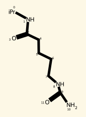 CC(C)NC(=O)CCCCNC(N)=O